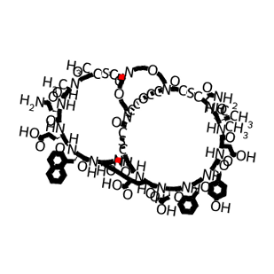 C[C@H]1CSCC(=O)N2CCOCCN3CCOCCN(CCOCC2)C(=O)CSC[C@@H]2NC(=O)[C@H](NC(=O)[C@H](Cc4cccc5ccccc45)NC(=O)[C@H](CCC(=O)O)NC(=O)[C@H](CC(N)=O)NC(=O)[C@@H](C)NC1=O)C(C(=O)O)C[C@H](NC1OC12)C(=O)N[C@@H](CC(=O)O)C(=O)N[C@@H](Cc1ccccc1)C(=O)N[C@@H](Cc1ccc(O)cc1)C(=O)NC(CC(=O)O)C(=O)N[C@@H](C(C)(C)C)C(=O)N[C@H](C(N)=O)CSCC3=O